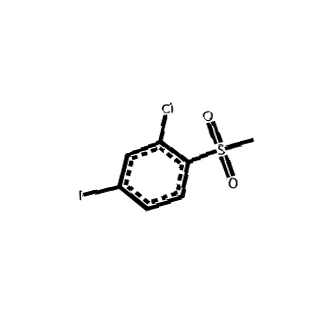 CS(=O)(=O)c1ccc(I)cc1Cl